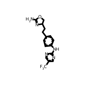 NC1=NC(CCc2ccc(Nc3ncc(C(F)(F)F)cn3)cc2)CO1